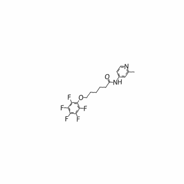 Cc1cc(NC(=O)CCCCCOc2c(F)c(F)c(F)c(F)c2F)ccn1